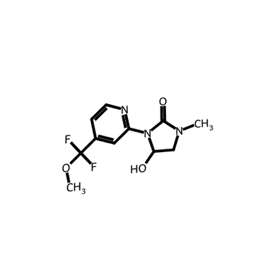 COC(F)(F)c1ccnc(N2C(=O)N(C)CC2O)c1